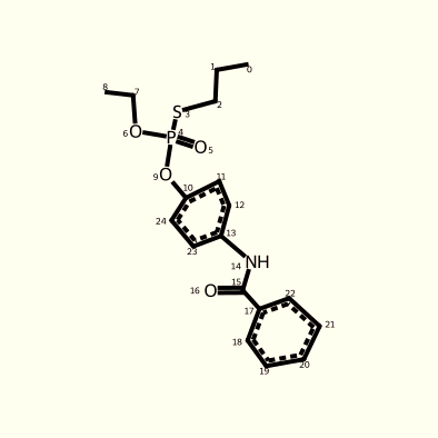 CCCSP(=O)(OCC)Oc1ccc(NC(=O)c2ccccc2)cc1